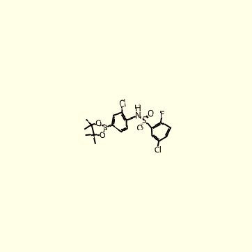 CC1(C)OB(c2ccc(NS(=O)(=O)c3cc(Cl)ccc3F)c(Cl)c2)OC1(C)C